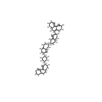 c1cnc2c(c1)ccc1ccc(-c3ccc(-c4ccc5ccc(-c6ccc7ccc(-c8cc9cccnc9c9ncccc89)nc7c6)cc5n4)cc3)nc12